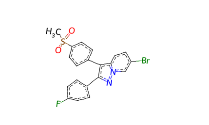 CS(=O)(=O)c1ccc(-c2c(-c3ccc(F)cc3)nn3cc(Br)ccc23)cc1